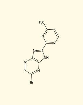 FC(F)(F)c1cccc(-c2nc3ncc(Br)nc3[nH]2)n1